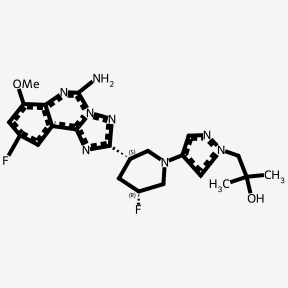 COc1cc(F)cc2c1nc(N)n1nc([C@H]3C[C@@H](F)CN(c4cnn(CC(C)(C)O)c4)C3)nc21